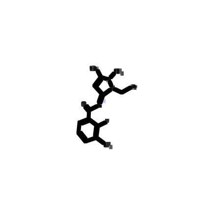 CC(C)Cn1/c(=N/C(=O)c2cccc(C(F)(F)F)c2F)cc(C(C)(C)C)n1C